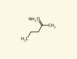 CCCC(C)=O.N